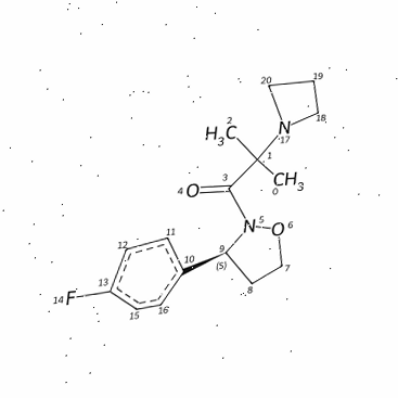 CC(C)(C(=O)N1OCC[C@H]1c1ccc(F)cc1)N1CCC1